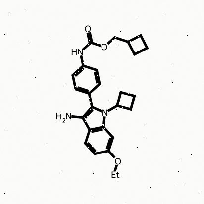 CCOc1ccc2c(N)c(-c3ccc(NC(=O)OCC4CCC4)cc3)n(C3CCC3)c2c1